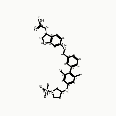 Cc1cc(OC2CCN([SH](C)(C)=O)C2)cc(C)c1-c1cccc(COc2ccc3c(c2)OC[C@H]3CC(=O)O)c1